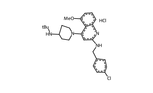 COc1cccc2nc(NCc3ccc(Cl)cc3)cc(N3CCC(NC(C)(C)C)CC3)c12.Cl